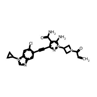 C=CC(=O)N1CC(n2nc(C#Cc3cc4ncn(C5CC5)c4cc3Cl)c(C(N)=O)c2N)C1